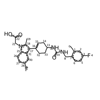 Cc1cc(F)ccc1CNC(=O)NC1CC=C(c2c(C)n(CC(=O)O)c3ccc(F)cc23)CC1